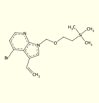 C=Cc1cn(COCC[Si](C)(C)C)c2nccc(Br)c12